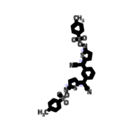 Cc1ccc(S(=O)(=O)O/N=C2C=C/C(=C(/C#N)c3cccc(/C(C#N)=C4C=C/C(=N/OS(=O)(=O)c5ccc(C)cc5)S\4)c3)S/2)cc1